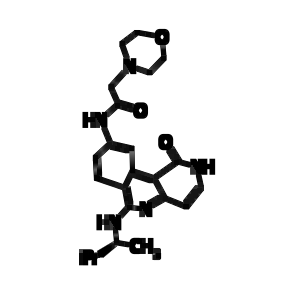 CC(C)[C@H](C)Nc1nc2cc[nH]c(=O)c2c2cc(NC(=O)CN3CCOCC3)ccc12